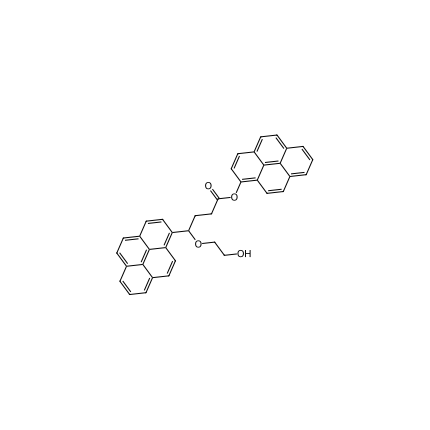 O=C(CCC(OCCO)c1ccc2ccc3cccc4ccc1c2c34)Oc1ccc2ccc3cccc4ccc1c2c34